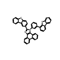 c1cc(-c2cccc3c2sc2ccccc23)cc(-n2c(-c3ccc4sc5ccccc5c4c3)nc3c4ccccc4c4ccccc4c32)c1